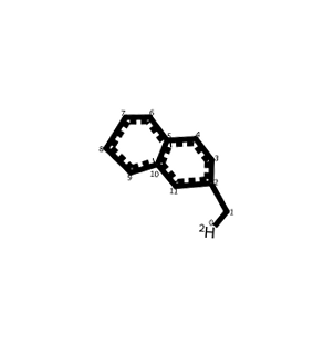 [2H]Cc1ccc2ccccc2c1